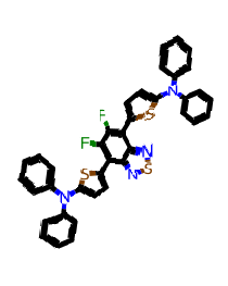 Fc1c(F)c(-c2ccc(N(c3ccccc3)c3ccccc3)s2)c2nsnc2c1-c1ccc(N(c2ccccc2)c2ccccc2)s1